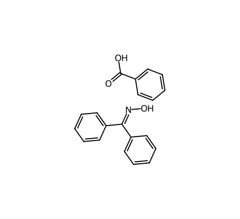 O=C(O)c1ccccc1.ON=C(c1ccccc1)c1ccccc1